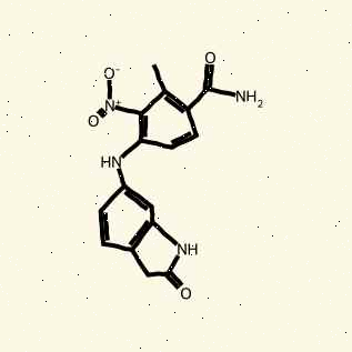 Cc1c(C(N)=O)ccc(Nc2ccc3c(c2)NC(=O)C3)c1[N+](=O)[O-]